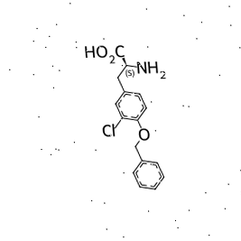 N[C@@H](Cc1ccc(OCc2ccccc2)c(Cl)c1)C(=O)O